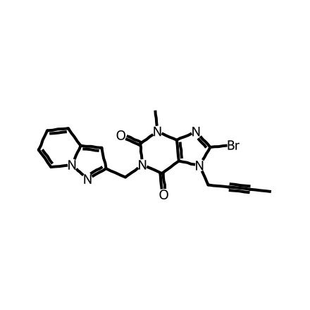 CC#CCn1c(Br)nc2c1c(=O)n(Cc1cc3ccccn3n1)c(=O)n2C